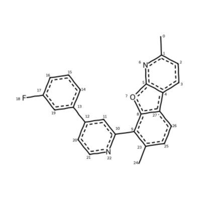 Cc1ccc2c(n1)oc1c(-c3cc(-c4cccc(F)c4)ccn3)c(C)ccc12